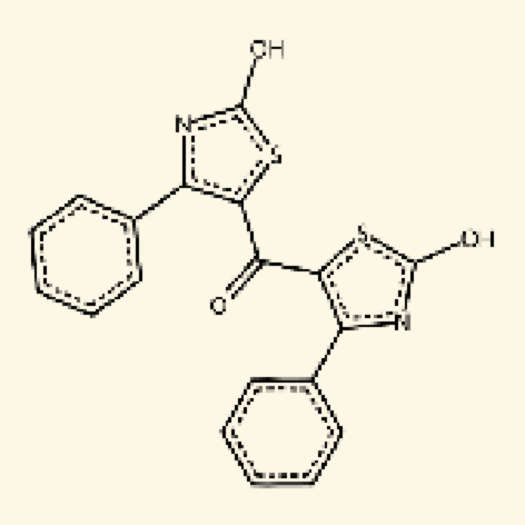 O=C(c1sc(O)nc1-c1ccccc1)c1sc(O)nc1-c1ccccc1